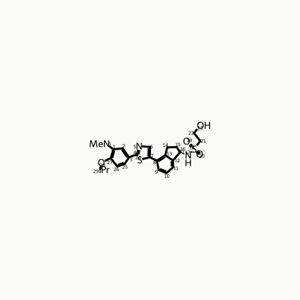 CNc1cc(-c2ncc(-c3cccc4c3CC[C@@H]4NS(=O)(=O)CCO)s2)ccc1OC(C)C